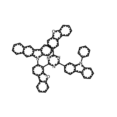 c1ccc(-n2c3ccccc3c3ccc(-c4nc(-c5ccc6oc7ccccc7c6c5)nc(-c5c(-n6c7ccccc7c7cc8ccccc8cc76)ccc6c5oc5ccccc56)n4)cc32)cc1